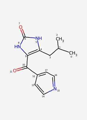 CC(C)Cc1[nH]c(=O)[nH]c1C(=O)c1ccncc1